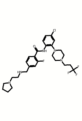 O=C(Nc1ccc(Cl)cc1N1CCN(CCC(F)(F)F)CC1)c1ccc(CNCCN2CCCC2)cc1F